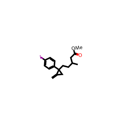 C=C1CC1(CCC(C)CC(=O)OC)c1ccc(I)cc1